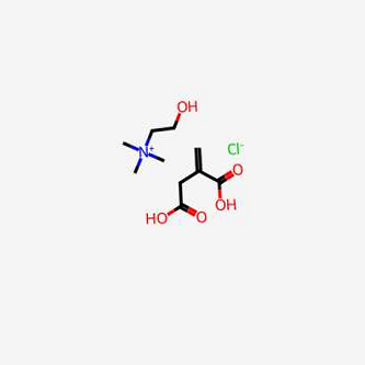 C=C(CC(=O)O)C(=O)O.C[N+](C)(C)CCO.[Cl-]